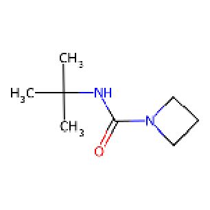 CC(C)(C)NC(=O)N1CCC1